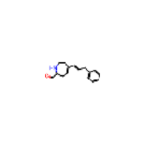 O=CC1CC=C(/C=C/Cc2ccccc2)CCN1